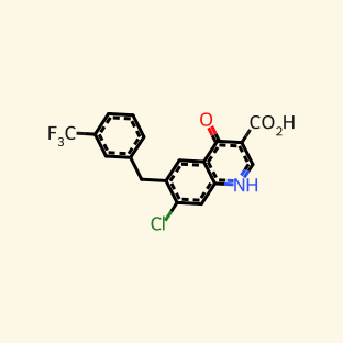 O=C(O)c1c[nH]c2cc(Cl)c(Cc3cccc(C(F)(F)F)c3)cc2c1=O